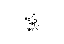 CCCC(C)(C)NOC(CC)C(C)=O